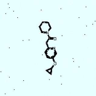 O=C(Cc1ccc(OC2CC2)cn1)N1CCCCC1